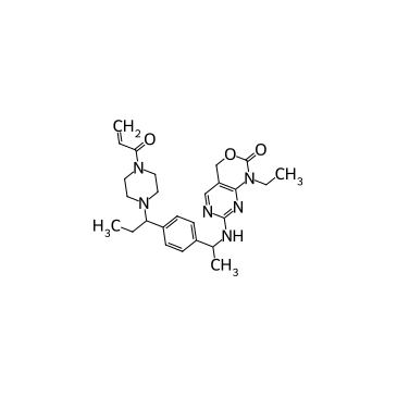 C=CC(=O)N1CCN(C(CC)c2ccc(C(C)Nc3ncc4c(n3)N(CC)C(=O)OC4)cc2)CC1